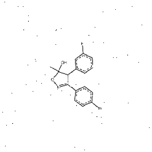 CC1(O)ON=C(c2ccc(Br)cc2)C1c1cccc(F)c1